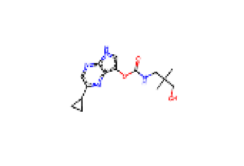 CC(C)(CO)CNC(=O)Oc1c[nH]c2ncc(C3CC3)nc12